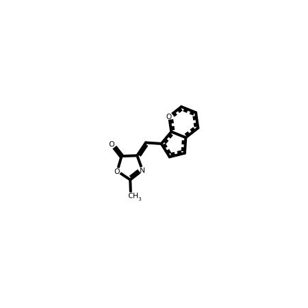 CC1=NC(=Cc2ccc3cccoc2-3)C(=O)O1